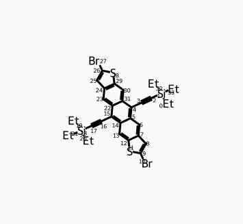 CC[Si](C#Cc1c2cc3cc(Br)sc3cc2c(C#C[Si](CC)(CC)CC)c2cc3cc(Br)sc3cc12)(CC)CC